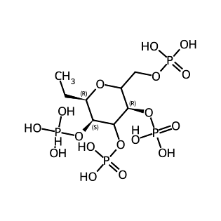 CC[C@H]1OC(COP(=O)(O)O)[C@@H](OP(=O)(O)O)C(OP(=O)(O)O)[C@H]1O[PH](O)(O)O